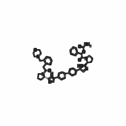 NC(=O)O[C@@H](C(=O)N1CCC[C@H]1c1ncc(-c2ccc(-c3ccc(-c4cnc([C@@H]5CCCN5C(=O)Cc5ccccc5CN5CCOCC5)[nH]4)cc3)cc2)[nH]1)c1ccccc1